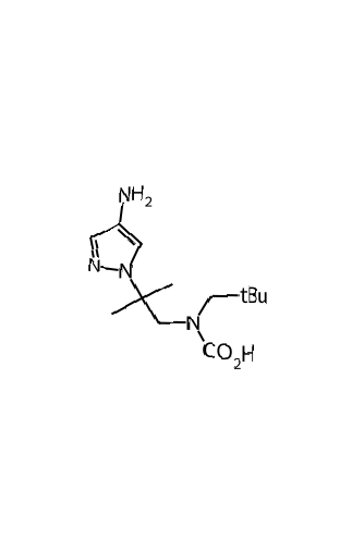 CC(C)(C)CN(CC(C)(C)n1cc(N)cn1)C(=O)O